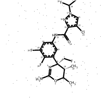 CC1OC(N)=N[C@@](CF)(c2cc(NC(=O)c3nn(C(F)F)cc3Cl)cc(F)c2F)[C@@H]1C